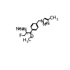 CO[C@H](c1ccc(Cn2cc(C)nn2)cc1)[C@@H](CF)N=[N+]=[N-]